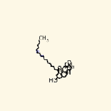 CCCCC/C=C\C/C=C/CCCCCCCC(=O)c1cc(O)cc2c1[C@H]1CC[C@]3(C)C(=O)CC[C@H]3[C@@H]1CC2